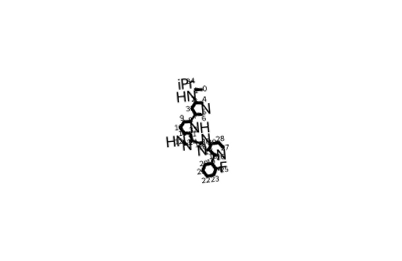 C=C(Nc1cncc(-c2ccc3[nH]nc(-c4nc5c(-c6ccccc6F)nccc5[nH]4)c3n2)c1)C(C)C